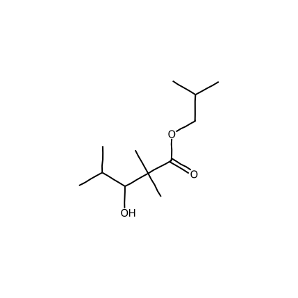 CC(C)COC(=O)C(C)(C)C(O)C(C)C